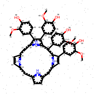 COc1cc(C2=Cc3cc4ccc(cc5nc(cc6[nH]c(c(-c7ccc(O)c(OC)c7)c2n3)c(-c2ccc(O)c(OC)c2)c6-c2ccc(O)c(OC)c2)C=C5)[nH]4)ccc1O